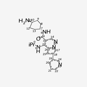 CC(C)Nc1c(C(=O)N[C@H]2CC[C@H](N)CC2)cnn2cc(-c3cccnc3)cc12